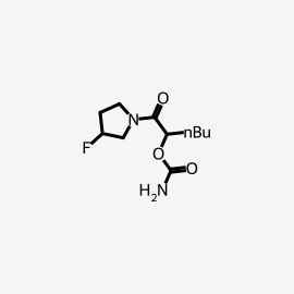 CCCCC(OC(N)=O)C(=O)N1CCC(F)C1